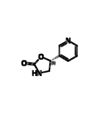 O=C1NC[C@@H](c2cccnc2)O1